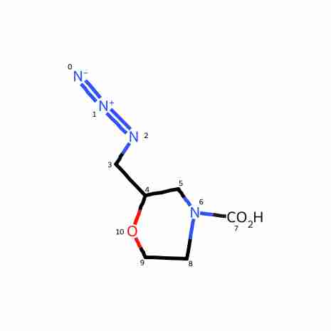 [N-]=[N+]=NCC1CN(C(=O)O)CCO1